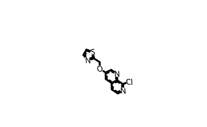 Clc1nccc2cc(OCc3nccs3)cnc12